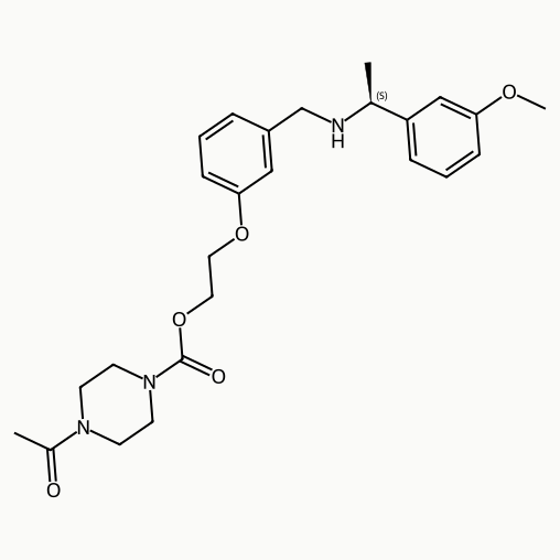 COc1cccc([C@H](C)NCc2cccc(OCCOC(=O)N3CCN(C(C)=O)CC3)c2)c1